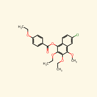 CCOc1ccc(C(=O)Oc2c(OCC)c(OCC)c(OC)c3cc(Cl)ccc23)cc1